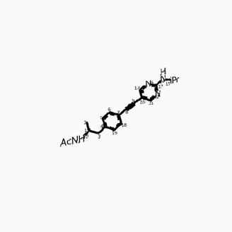 CC(=O)NC(C)Cc1ccc(C#Cc2cnc(NC(C)C)nc2)cc1